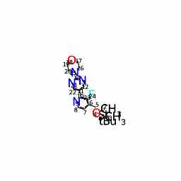 CC(C)(C)[Si](C)(C)OCc1ccnc(-c2cnc(N3CCOCC3)nc2)c1F